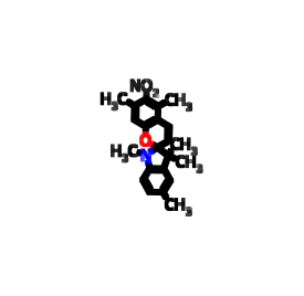 Cc1ccc2c(c1)C(C)(C)C1(C=Cc3c(cc(C)c([N+](=O)[O-])c3C)O1)N2C